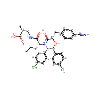 CCC[C@H](C(=O)NC[C@H](C)C(=O)O)N1C(=O)[C@H](Cc2ccc(C#N)cc2)O[C@@H](c2ccc(Cl)cc2)[C@H]1c1ccc(Cl)cc1